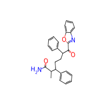 CC(C(N)=O)C(CCC(C(=O)c1nc2ccccc2o1)c1ccccc1)c1ccccc1